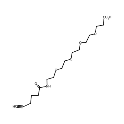 C#CCCCC(=O)NCCOCCOCCOCCOCCC(=O)O